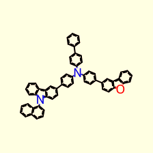 c1ccc(-c2ccc(N(c3ccc(-c4ccc5oc6ccccc6c5c4)cc3)c3ccc(-c4ccc5c(c4)c4ccccc4n5-c4cccc5ccccc45)cc3)cc2)cc1